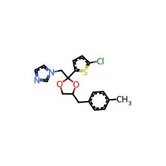 Cc1ccc(CC2COC(Cn3ccnc3)(c3ccc(Cl)s3)O2)cc1